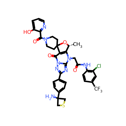 C[C@H]1OC2(CCN(C(=O)c3ncccc3O)CC2)c2c1n(CC(=O)Nc1ccc(C(F)(F)F)cc1Cl)c1nc(-c3ccc(C4(N)CSC4)cc3)nn1c2=O